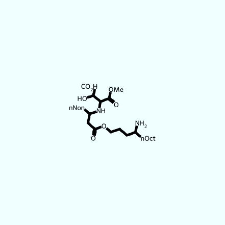 CCCCCCCCCC(CC(=O)OCCCC(N)CCCCCCCC)NC(C(=O)OC)C(O)C(=O)O